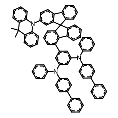 CC1(C)c2ccccc2N(c2ccc3c(c2)C2(c4ccccc4-3)c3ccccc3-c3c(-c4cc(N(c5ccccc5)c5ccc(-c6ccccc6)cc5)cc(N(c5ccccc5)c5ccc(-c6ccccc6)cc5)c4)cccc32)c2ccccc21